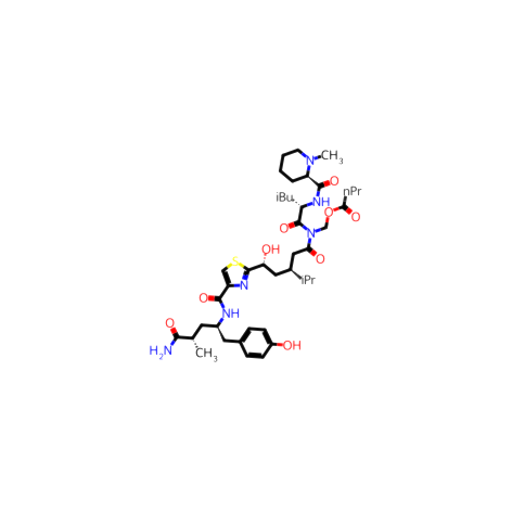 CCCC(=O)OCN(C(=O)C[C@H](C[C@@H](O)c1nc(C(=O)N[C@@H](Cc2ccc(O)cc2)C[C@H](C)C(N)=O)cs1)C(C)C)C(=O)[C@@H](NC(=O)[C@H]1CCCCN1C)C(C)CC